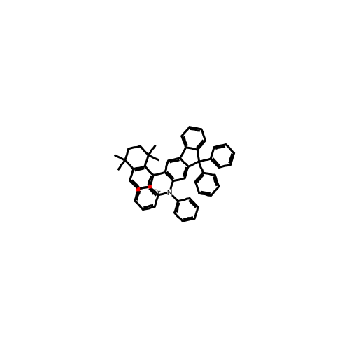 CC(C)c1ccc2c(c1-c1cc3c(cc1N(c1ccccc1)c1ccccc1)C(c1ccccc1)(c1ccccc1)c1ccccc1-3)C(C)(C)CCC2(C)C